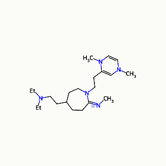 CCN(CC)CCC1CC/C(=N/C)N(CCC2=CN(C)C=CN2C)CC1